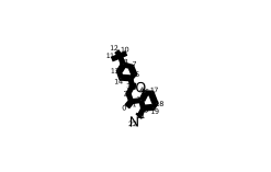 C=C(CC(=O)c1ccc(C(C)(C)C)cc1)c1ccccc1C#N